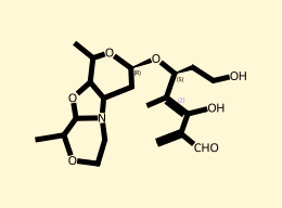 C=C(C=O)/C(O)=C(\C)[C@H](CCO)O[C@H]1CC2C(OC3C(C)OCCN23)C(C)O1